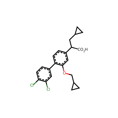 O=C(O)C(CC1CC1)c1ccc(-c2ccc(Cl)c(Cl)c2)c(OCC2CC2)c1